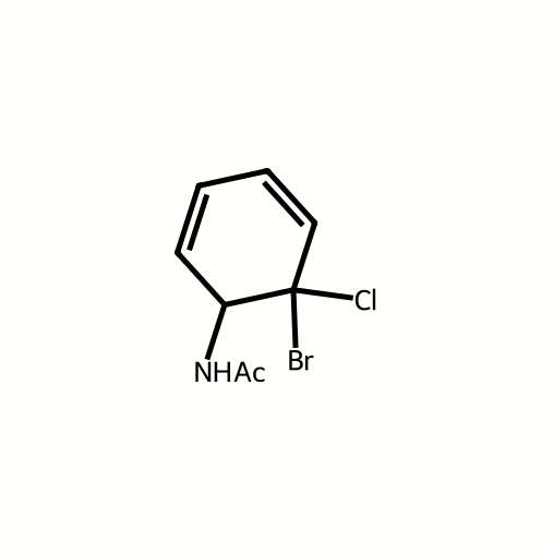 CC(=O)NC1C=CC=CC1(Cl)Br